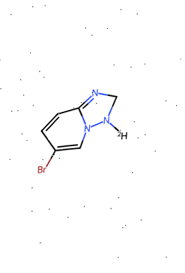 [2H]N1CN=C2C=CC(Br)=CN21